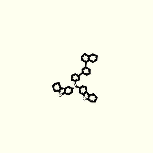 c1cc(-c2cccc(N(c3ccc4c(c3)oc3ccccc34)c3ccc4sc5ccccc5c4c3)c2)cc(-c2cccc3ccccc23)c1